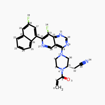 C=CC(=O)N1CCN(c2ncnc3c(F)c(-c4cc(F)cc5ccccc45)ncc23)C[C@@H]1CC#N